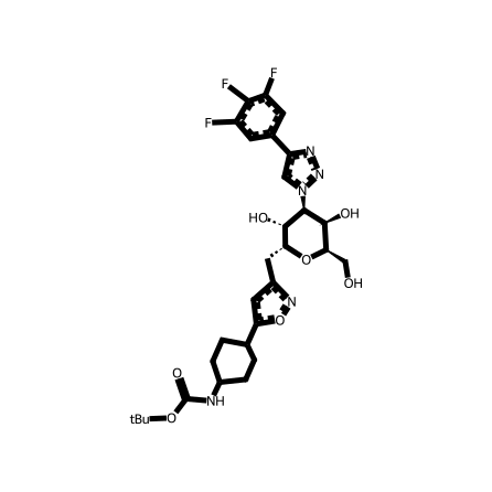 CC(C)(C)OC(=O)NC1CCC(c2cc(C[C@H]3O[C@H](CO)[C@H](O)[C@H](n4cc(-c5cc(F)c(F)c(F)c5)nn4)[C@H]3O)no2)CC1